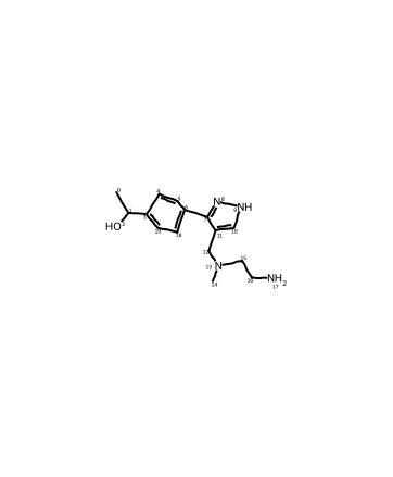 CC(O)c1ccc(-c2n[nH]cc2CN(C)CCN)cc1